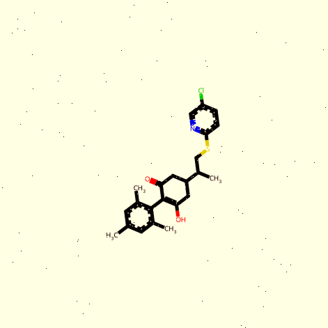 Cc1cc(C)c(C2=C(O)CC(C(C)CSc3ccc(Cl)cn3)CC2=O)c(C)c1